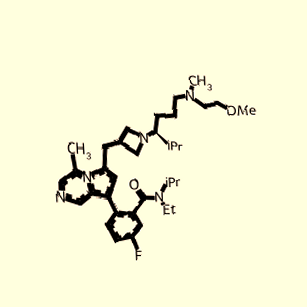 CCN(C(=O)c1cc(F)ccc1-c1cc(CC2CN([C@@H](CCCN(C)CCOC)C(C)C)C2)n2c(C)cncc12)C(C)C